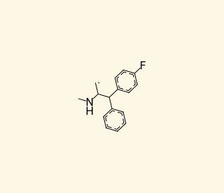 [CH2]C(NC)C(c1ccccc1)c1ccc(F)cc1